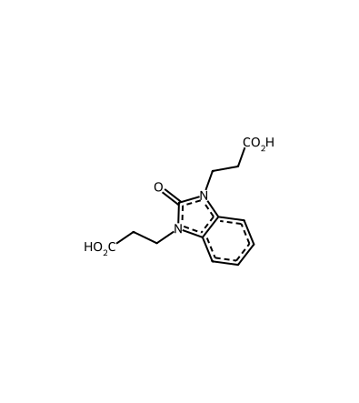 O=C(O)CCn1c(=O)n(CCC(=O)O)c2ccccc21